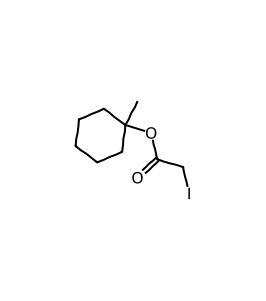 CC1(OC(=O)CI)CCCCC1